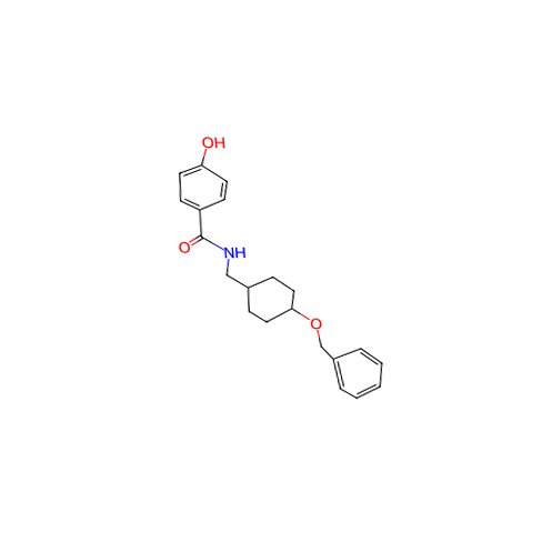 O=C(NCC1CCC(OCc2ccccc2)CC1)c1ccc(O)cc1